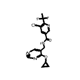 CC(F)(F)c1ncc(C(=O)NCc2cncnc2OC2CC2)cc1Cl